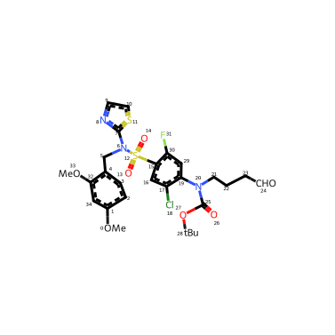 COc1ccc(CN(c2nccs2)S(=O)(=O)c2cc(Cl)c(N(CCCC=O)C(=O)OC(C)(C)C)cc2F)c(OC)c1